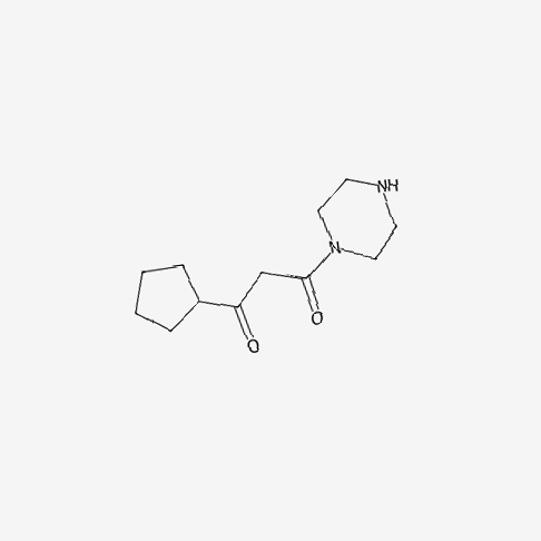 O=C(CC(=O)N1CCNCC1)C1CCCC1